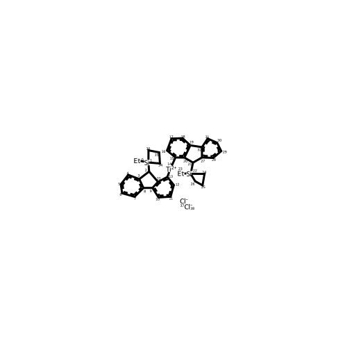 CC[Si]1(C2c3ccccc3-c3ccc[c]([Ti+2][c]4cccc5c4C([Si]4(CC)CCC4)c4ccccc4-5)c32)CCC1.[Cl-].[Cl-]